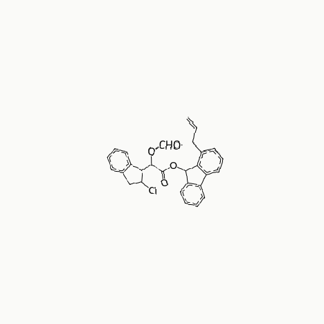 C=CCc1cccc2c1C(OC(=O)C(O[C]=O)C1c3ccccc3CC1Cl)c1ccccc1-2